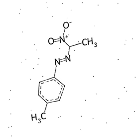 Cc1ccc(N=NC(C)[N+](=O)[O-])cc1